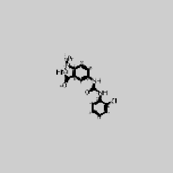 CCCn1[nH]c(=O)c2cc(NC(=O)Nc3ccccc3Cl)ccc21